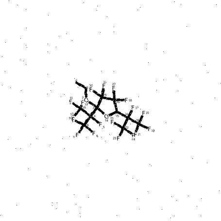 CCOC1(C(F)(C(F)(F)F)C(F)(F)F)OC(C(F)(C(F)(F)F)C(F)(F)F)C(F)(F)C1(F)F